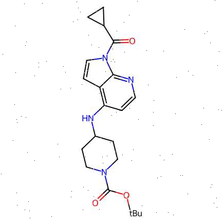 CC(C)(C)OC(=O)N1CCC(Nc2ccnc3c2ccn3C(=O)C2CC2)CC1